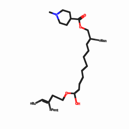 CCCC/C=C(\CCCCC)CCOC(O)CCCCCCCCC(CCCCCCCCC)COC(=O)C1CCN(C)CC1